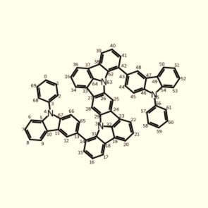 c1ccc(-n2c3ccccc3c3cc(-c4cccc5c6cccc7c8cc9c(cc8n(c45)c76)c4cccc5c6cccc(-c7ccc8c(c7)c7ccccc7n8-c7ccccc7)c6n9c45)ccc32)cc1